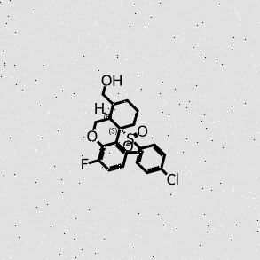 O=S(=O)(c1ccc(Cl)cc1)[C@@]12CCCC(CO)[C@@H]1COc1c(F)ccc(F)c12